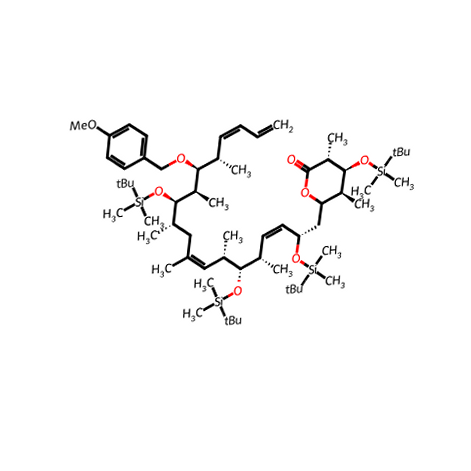 C=C/C=C\[C@H](C)[C@H](OCc1ccc(OC)cc1)[C@@H](C)[C@H](O[Si](C)(C)C(C)(C)C)[C@@H](C)C/C(C)=C\[C@H](C)[C@@H](O[Si](C)(C)C(C)(C)C)[C@@H](C)/C=C\[C@H](CC1OC(=O)[C@H](C)[C@@H](O[Si](C)(C)C(C)(C)C)[C@H]1C)O[Si](C)(C)C(C)(C)C